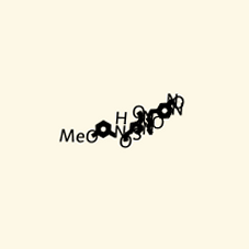 COc1cccc(CNC(=O)c2cc3c(=O)n(Cc4ccc5nonc5c4)c(=O)n(C)c3s2)c1